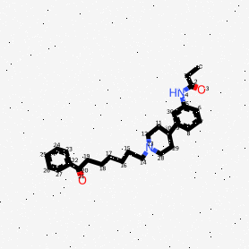 CCC(=O)Nc1cccc(C2CCN(CCCCCCC(=O)c3ccccc3)CC2)c1